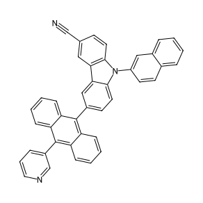 N#Cc1ccc2c(c1)c1cc(-c3c4ccccc4c(-c4cccnc4)c4ccccc34)ccc1n2-c1ccc2ccccc2c1